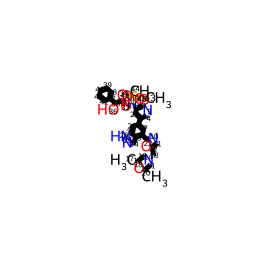 COc1ncc(-c2cc(-c3ncc(CN4C[C@@H](C)O[C@@H](C)C4)o3)c3cn[nH]c3c2)cc1N(OC(=O)[C@H](O)c1ccccc1)S(C)(=O)=O